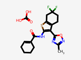 Cc1noc(-c2c(NC(=O)C3=CCCCC3)sc3c2CCC(F)(F)C3)n1.O=C(O)O